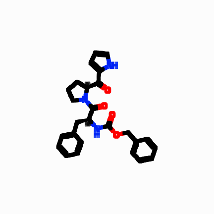 O=C(N[C@@H](Cc1ccccc1)C(=O)N1CCC[C@H]1C(=O)c1ccc[nH]1)OCc1ccccc1